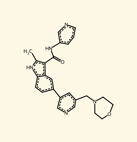 Cc1[nH]c2ccc(-c3cncc(CN4CCOCC4)c3)cc2c1C(=O)Nc1cccnc1